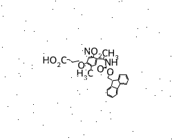 Cc1cc(C(C)NC(=O)OCC2c3ccccc3-c3ccccc32)c([N+](=O)[O-])cc1OCCCC(=O)O